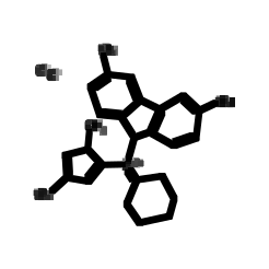 CC1C=C(C(C)(C)C)C=[C]1[Zr+2](=[C]1CCCCC1)[CH]1c2ccc(C(C)(C)C)cc2-c2cc(C(C)(C)C)ccc21.[Cl-].[Cl-]